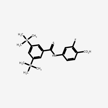 C[Si](C)(C)c1cc(C(=S)Nc2ccc(C(=O)O)c(F)c2)cc([Si](C)(C)C)c1